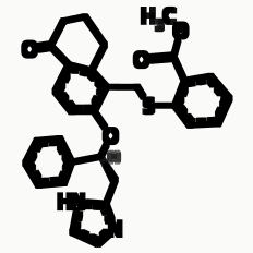 COC(=O)c1ccccc1SCc1c(O[C@@H](Cc2ncc[nH]2)c2ccccc2)ccc2c1CCCC2=O